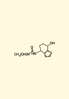 CN(O)C(=O)NC1CCC(O)c2sccc21